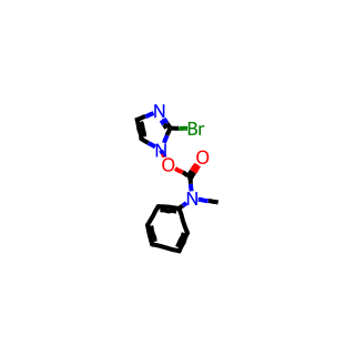 CN(C(=O)On1ccnc1Br)c1ccccc1